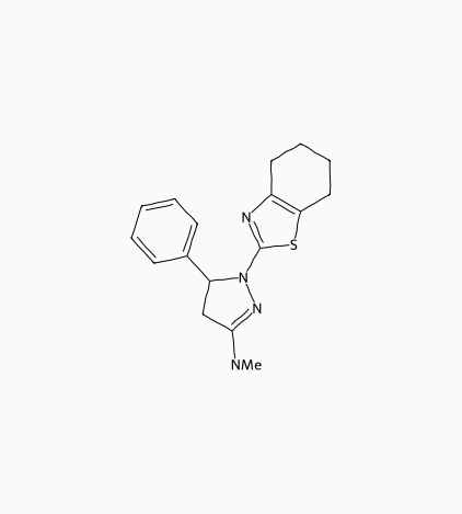 CNC1=NN(c2nc3c(s2)CCCC3)C(c2ccccc2)C1